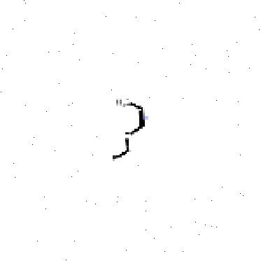 C/C=C\O[CH]F